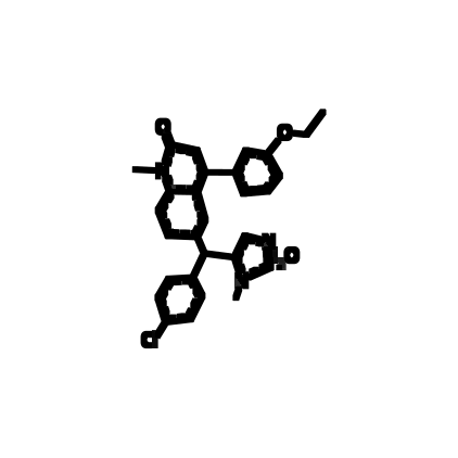 CCOc1cccc(-c2cc(=O)n(C)c3ccc(C(c4ccc(Cl)cc4)c4cncn4C)cc23)c1.O